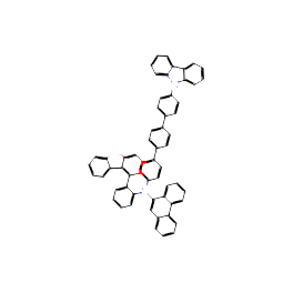 c1ccc(N(c2ccc(-c3ccc(-c4ccc(-n5c6ccccc6c6ccccc65)cc4)cc3)cc2)c2cc3ccccc3c3ccccc23)c(-c2cccc3oc4ccccc4c23)c1